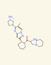 Cc1cn2nc([C@@H]3CCCCN3C(=O)C3CN4CCCCC4N3)cc2nc1N1CC[C@H](N)C1